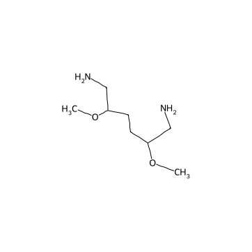 COC(CN)CCC(CN)OC